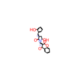 O=C1Oc2ccccc2C(=O)/C1=C/N1C(=O)/C(=C/c2ccccc2O)CC1O